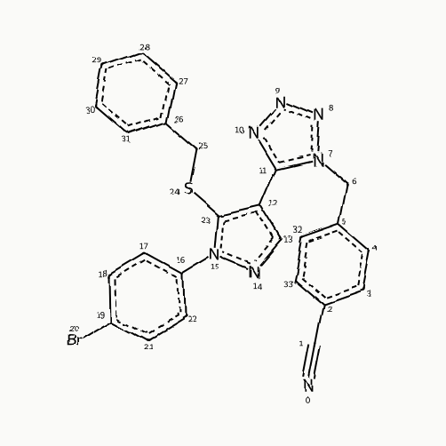 N#Cc1ccc(Cn2nnnc2-c2cnn(-c3ccc(Br)cc3)c2SCc2ccccc2)cc1